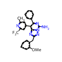 COc1ccccc1Cc1nc2c(-c3cc(C)nc(C(F)(F)F)c3)c(-c3ccccc3)nc(N)n2n1